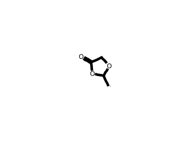 [CH2]C1OCC(=O)O1